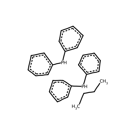 CCCC.c1ccc(Pc2ccccc2)cc1.c1ccc(Pc2ccccc2)cc1